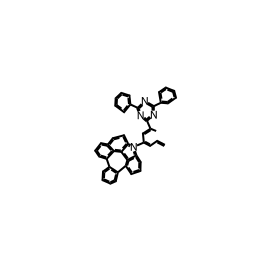 C=C/C=C(\C=C(/C)c1nc(-c2ccccc2)nc(-c2ccccc2)n1)n1c2cccc3c2c2c4c(cccc4ccc21)-c1ccccc1-3